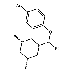 CCC(Oc1ccc(C(C)=O)cc1)N1C[C@H](C)C[C@@H](C)C1